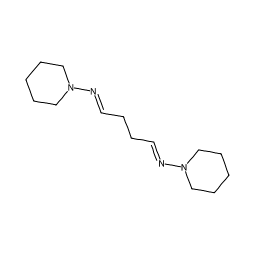 C(CCC=NN1CCCCC1)=NN1CCCCC1